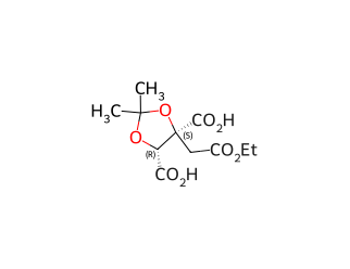 CCOC(=O)C[C@]1(C(=O)O)OC(C)(C)O[C@H]1C(=O)O